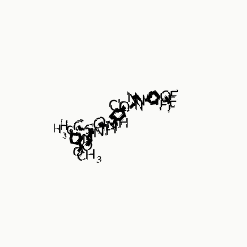 CCSC(NC(=O)Nc1ccc(OCc2ncn(-c3ccc(OC(F)(F)F)cc3)n2)c(Cl)c1)N(C=O)c1cc(C)ccc1COC